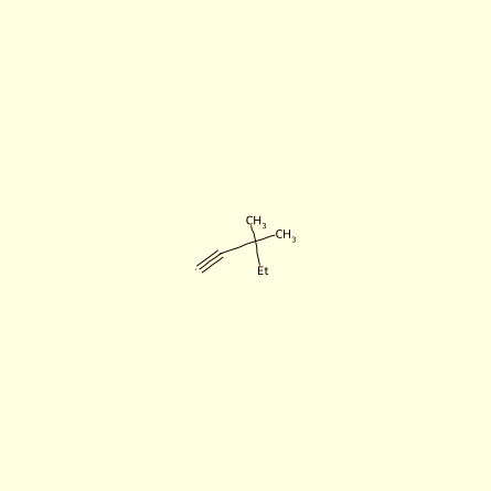 [C]#CC(C)(C)CC